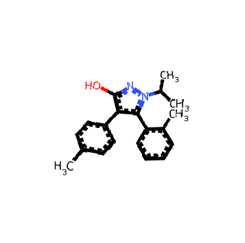 Cc1ccc(-c2c(O)nn(C(C)C)c2-c2ccccc2C)cc1